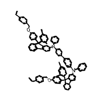 C=Cc1ccc(COc2ccc(C3(c4ccc(C)cc4C)c4ccccc4-c4ccc(N(c5ccccc5)c5ccc(-c6ccc(N(c7ccccc7)c7ccc8c(c7)C(c7ccc(OCc9ccc(CC)cc9)cc7)(c7cc(C)ccc7C)c7ccccc7-8)cc6)cc5)cc43)cc2)cc1